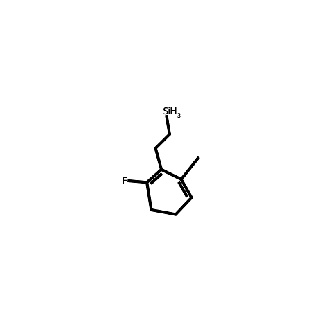 CC1=CCCC(F)=C1CC[SiH3]